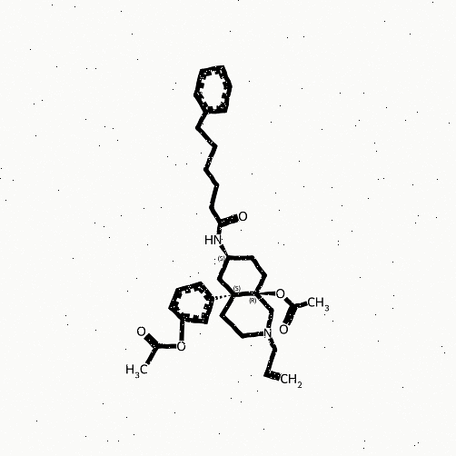 C=CCN1CC[C@@]2(c3cccc(OC(C)=O)c3)C[C@@H](NC(=O)CCCCCc3ccccc3)CC[C@]2(OC(C)=O)C1